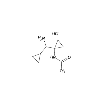 Cl.NC(C1CC1)C1(NC(=O)O)CC1